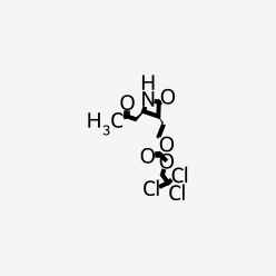 CC(=O)C[C@H]1NC(=O)[C@@H]1CCOC(=O)OCC(Cl)(Cl)Cl